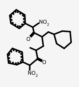 CC(CC(C[C]1CCCCC1)C(=O)C(c1ccccc1)[N+](=O)[O-])C(=O)C(c1ccccc1)[N+](=O)[O-]